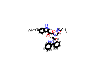 COc1ccc2c(C(=O)C(=O)N(CC(=O)NC3(C4CCCCC4)CCCCC3)Cc3nnc(C)o3)c[nH]c2c1